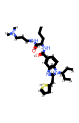 CCCC(NC(=O)c1ccc2c(c1)nc(Cc1cccs1)n2C(CC)CC)C(=O)NCCCN(C)C